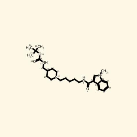 Cn1cc(C(=O)NCCCCCN2CCC(CNC(=O)OC(C)(C)C)CC2)c2ccccc21